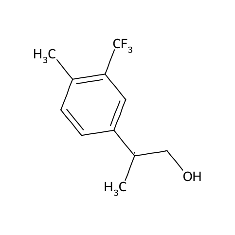 C[C](CO)c1ccc(C)c(C(F)(F)F)c1